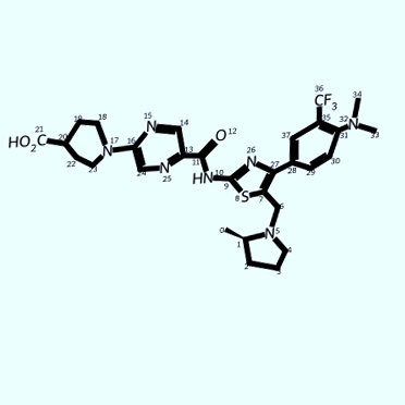 C[C@@H]1CCCN1Cc1sc(NC(=O)c2cnc(N3CCC(C(=O)O)CC3)cn2)nc1-c1ccc(N(C)C)c(C(F)(F)F)c1